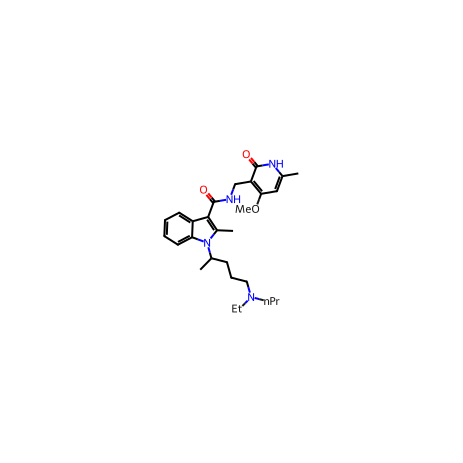 CCCN(CC)CCCC(C)n1c(C)c(C(=O)NCc2c(OC)cc(C)[nH]c2=O)c2ccccc21